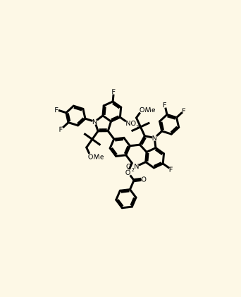 COCC(C)(C)c1c(-c2ccc(COC(=O)c3ccccc3)c(-c3c(C(C)(C)COC)n(-c4ccc(F)c(F)c4)c4cc(F)cc([N+](=O)[O-])c34)c2)c2c([N+](=O)[O-])cc(F)cc2n1-c1ccc(F)c(F)c1